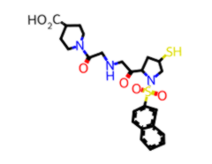 O=C(O)C1CCN(C(=O)CNCC(=O)C2CC(S)CN2S(=O)(=O)c2ccc3ccccc3c2)CC1